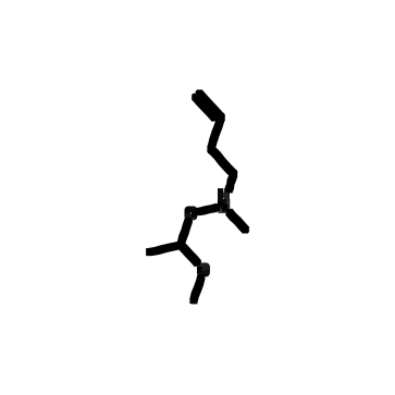 C=CCC[SiH](C)OC(C)OC